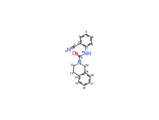 N#Cc1ccccc1NC(=O)N1CCc2ccccc2C1